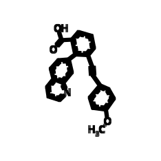 COc1ccc(C#Cc2cccc(C(=O)O)c2-c2ccc3cccnc3c2)cc1